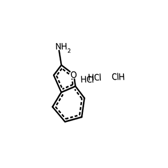 Cl.Cl.Cl.Nc1cc2ccccc2o1